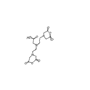 O=C(O)CN(CCN1CC(=O)OC(=O)C1)CCN1CC(=O)OC(=O)C1